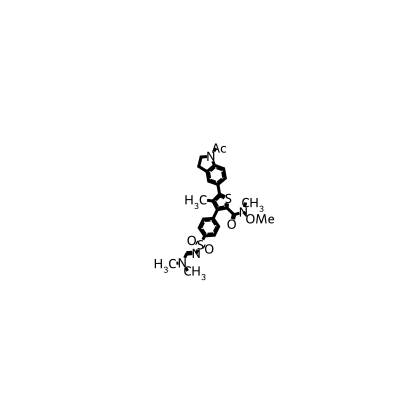 CON(C)C(=O)c1sc(-c2ccc3c(c2)CCN3C(C)=O)c(C)c1-c1ccc(S(=O)(=O)/N=C/N(C)C)cc1